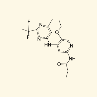 CCOc1cnc(NC(=O)CC)cc1Nc1cc(C)nc(C(C)(F)F)n1